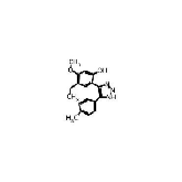 CCc1cc(-c2nn[nH]c2-c2ccc(C)cc2)c(O)cc1OC